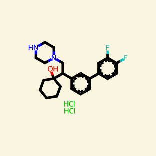 Cl.Cl.OC1(C(CN2CCNCC2)c2cccc(-c3ccc(F)c(F)c3)c2)CCCCC1